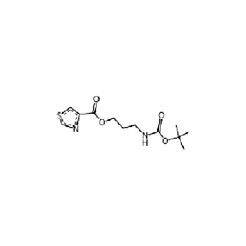 CC(C)(C)OC(=O)NCCCOC(=O)c1cscn1